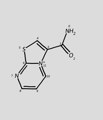 NC(=O)c1csc2nccc[n+]12